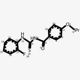 CC(C)Oc1ccc(C(=O)NC(=S)Nc2ccccc2F)cc1